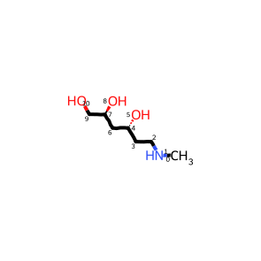 CNCC[C@@H](O)C[C@H](O)CO